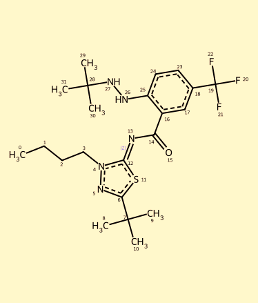 CCCCn1nc(C(C)(C)C)s/c1=N\C(=O)c1cc(C(F)(F)F)ccc1NNC(C)(C)C